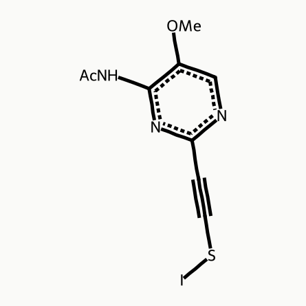 COc1cnc(C#CSI)nc1NC(C)=O